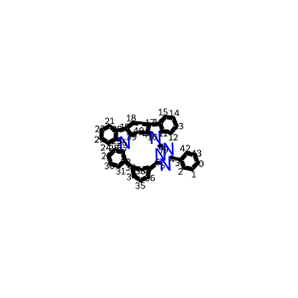 c1ccc(-c2nc3nc(n2)n2c4ccccc4c4cc5c6ccccc6n(c6ccccc6c6cccc3c6)c5cc42)cc1